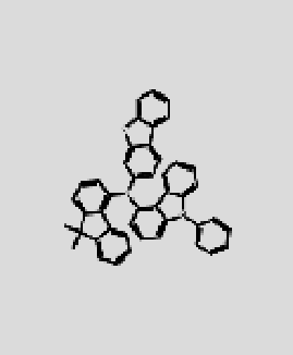 CC1(C)c2ccccc2-c2c(N(c3ccc4c(c3)sc3ccccc34)c3cccc4c3c3ccccc3n4-c3ccccc3)cccc21